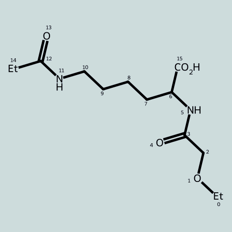 CCOCC(=O)NC(CCCCNC(=O)CC)C(=O)O